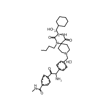 CCCCN1C(=O)[C@@H]([C@H](O)C2CCCCC2)NC(=O)C12CCN(Cc1ccc(C(N)C(=O)c3ccc(C(=O)NC)cc3)cc1)CC2.Cl